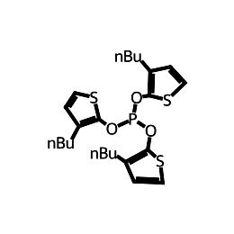 CCCCc1ccsc1OP(Oc1sccc1CCCC)Oc1sccc1CCCC